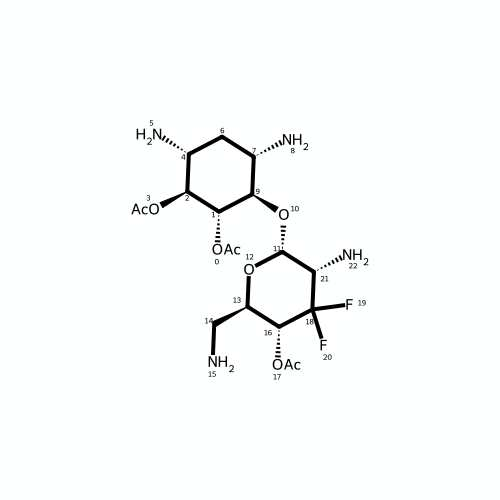 CC(=O)O[C@@H]1[C@@H](OC(C)=O)[C@H](N)C[C@H](N)[C@H]1O[C@H]1O[C@H](CN)[C@@H](OC(C)=O)C(F)(F)[C@H]1N